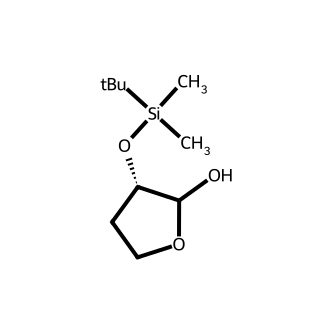 CC(C)(C)[Si](C)(C)O[C@H]1CCOC1O